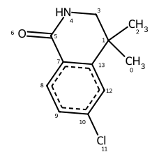 CC1(C)CNC(=O)c2ccc(Cl)cc21